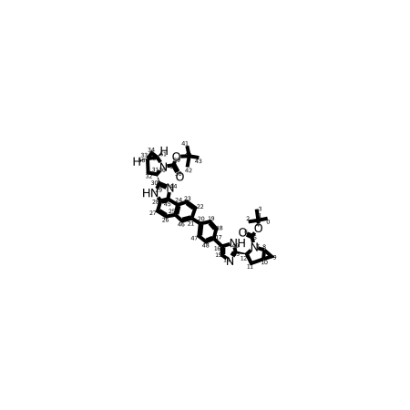 CC(C)(C)OC(=O)N1C2CC2C[C@H]1c1ncc(-c2ccc(-c3ccc4c(ccc5[nH]c([C@@H]6C[C@H]7C[C@H]7N6C(=O)OC(C)(C)C)nc54)c3)cc2)[nH]1